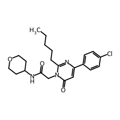 CCCCCc1nc(-c2ccc(Cl)cc2)cc(=O)n1CC(=O)NC1CCOCC1